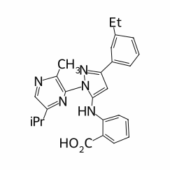 CCc1cccc(-c2cc(Nc3ccccc3C(=O)O)n(-c3nc(C(C)C)cnc3C)n2)c1